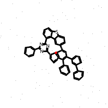 c1ccc(-c2cccc(-c3cc(-c4ccc5sc6cccc(-c7nc(-c8ccccc8)nc(-c8ccccc8)n7)c6c5c4)ccc3-c3ccccc3)c2)cc1